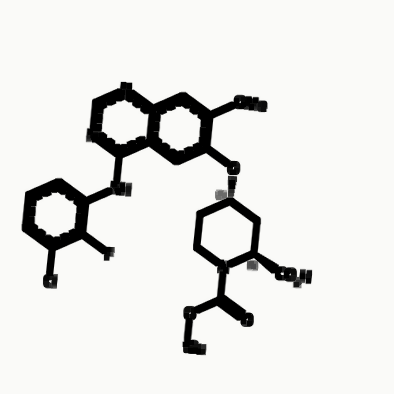 COc1cc2ncnc(Nc3cccc(Cl)c3F)c2cc1O[C@H]1CCN(C(=O)OC(C)(C)C)[C@H](C(=O)O)C1